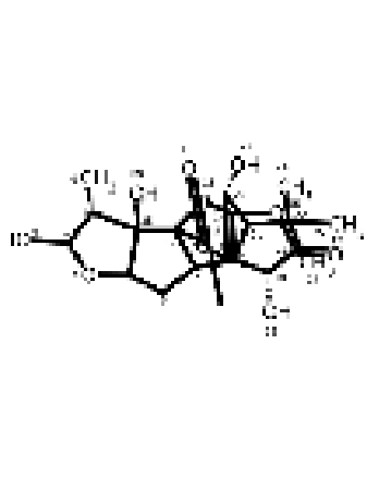 C[C@@H]1C(O)OC2CC34C5OC(=O)C3(OC3OC(=O)[C@H](O)C34[C@H](C(C)(C)C)[C@H]5O)[C@]21O